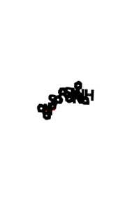 C1=CC2C(CC1)c1ccccc1N2c1ccc2c(c1)sc1cc(-c3cccc4sc5c(C6=NC(c7ccccc7)NC(c7ccccc7)=N6)cccc5c34)ccc12